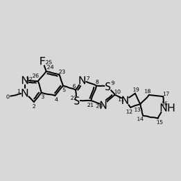 Cn1cc2cc(-c3nc4sc(N5CC6(CCNCC6)C5)nc4s3)cc(F)c2n1